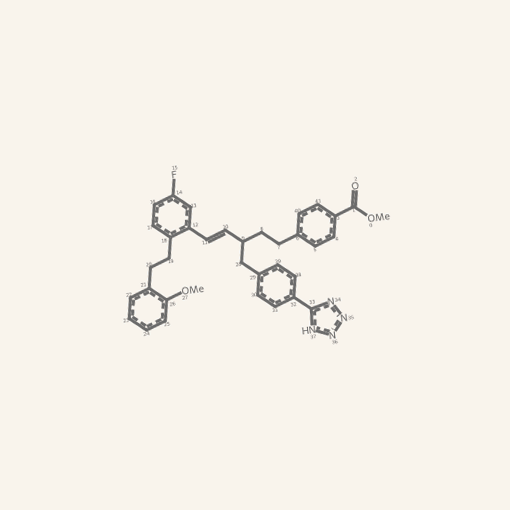 COC(=O)c1ccc(CCC(C=Cc2cc(F)ccc2CCc2ccccc2OC)Cc2ccc(-c3nnn[nH]3)cc2)cc1